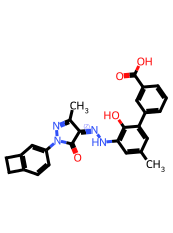 CC1=NN(c2ccc3c(c2)CC3)C(=O)/C1=N\Nc1cc(C)cc(-c2cccc(C(=O)O)c2)c1O